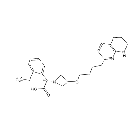 CCc1ccccc1[C@@H](C(=O)O)N1CC(OCCCCc2ccc3c(n2)NCCC3)C1